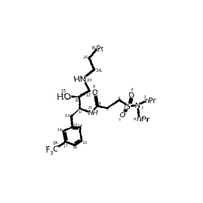 CCCN(CCC)S(=O)(=O)CCC(=O)N[C@@H](Cc1cccc(C(F)(F)F)c1)[C@@H](O)CNCCC(C)C